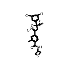 Cc1cc(C2=[N+]([O-])OC(c3cc(Cl)cc(Cl)c3)(C(F)(F)F)C2)ccc1C(=O)NC1CSC1